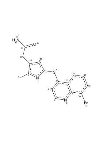 Cc1nc(Sc2ncnc3c(Br)cccc23)sc1CC(N)=O